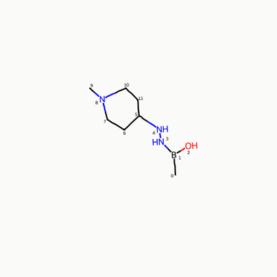 CB(O)NNC1CCN(C)CC1